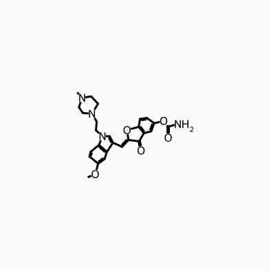 COc1ccc2c(c1)c(/C=C1\Oc3ccc(OC(N)=O)cc3C1=O)cn2CCN1CCN(C)CC1